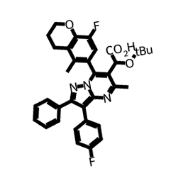 Cc1nc2c(-c3ccc(F)cc3)c(-c3ccccc3)nn2c(-c2cc(F)c3c(c2C)CCCO3)c1C(OC(C)(C)C)C(=O)O